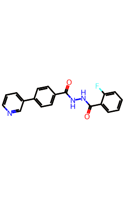 O=C(NNC(=O)c1ccccc1F)c1ccc(-c2cccnc2)cc1